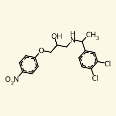 CC(NCC(O)COc1ccc([N+](=O)[O-])cc1)c1ccc(Cl)c(Cl)c1